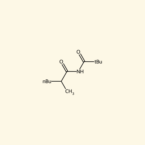 CCCCC(C)C(=O)NC(=O)C(C)(C)C